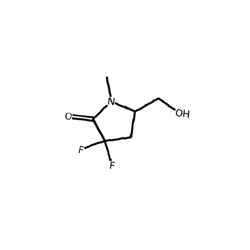 CN1C(=O)C(F)(F)CC1CO